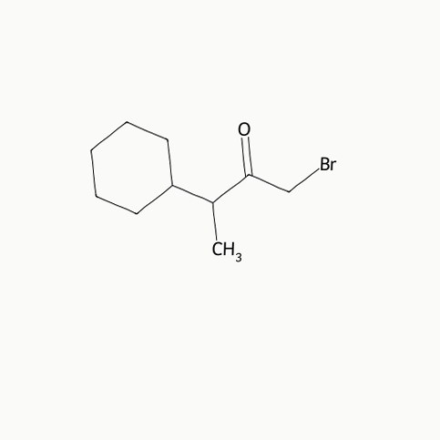 CC(C(=O)CBr)C1CCCCC1